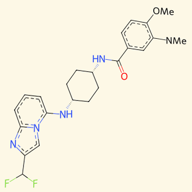 CNc1cc(C(=O)N[C@H]2CC[C@@H](Nc3cccc4nc(C(F)F)cn34)CC2)ccc1OC